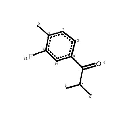 Cc1ccc(C(=O)C(C)C)cc1F